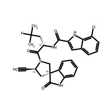 C#C[C@@H]1C[C@@]2(CN1C(=O)[C@H](CC(C)(C)F)NC(=O)c1cc3cccc(Cl)c3[nH]1)C(=O)Nc1ccccc12